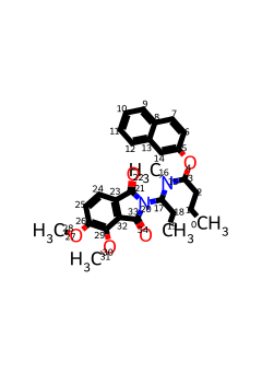 CCCC(Oc1ccc2ccccc2c1)N(C)C(CC)N1C(=O)c2ccc(OC)c(OC)c2C1=O